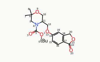 CC(C)(C)OC(=O)N1CC(C)(C)OCC1COc1ccc2c(c1)COC2=O